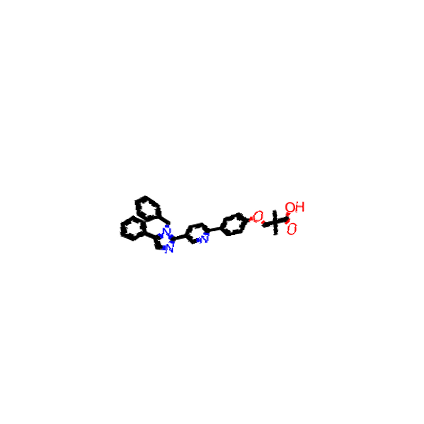 CC(C)(COc1ccc(-c2ccc(-c3ncc(-c4ccccc4)n3Cc3ccccc3)cn2)cc1)C(=O)O